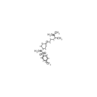 CC(CCCO[C@H]1CC[C@H](N(C)S(=O)(=O)c2ccc(C(F)(F)F)cc2)CC1)N(C)C